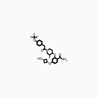 NC(=O)c1ccc(O[C@H]2C[C@@H](O)C2)cc1O[C@@H]1CCN(C(=O)Cc2ccc(OC(F)(F)F)cc2)C[C@@H]1F